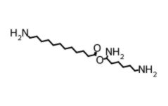 NCCCCCCCCCCCC(=O)OC(N)CCCCCN